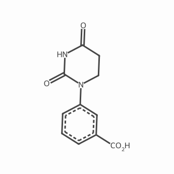 O=C1CCN(c2cccc(C(=O)O)c2)C(=O)N1